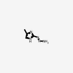 Cc1c[nH]c(N=NN)n1